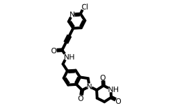 O=C(C#Cc1ccc(Cl)nc1)NCc1ccc2c(c1)CN(C1CCC(=O)NC1=O)C2=O